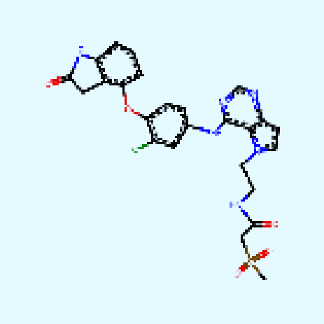 CS(=O)(=O)CC(=O)NCCn1ccc2ncnc(Nc3ccc(Oc4cccc5c4CC(=O)N5)c(Cl)c3)c21